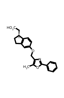 Cc1oc(-c2ccccc2)nc1COc1ccc2c(c1)CC[C@H]2CC(=O)O